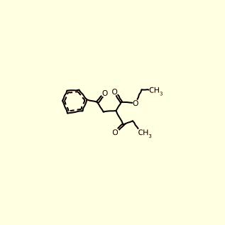 CCOC(=O)C(CC(=O)c1ccccc1)C(=O)CC